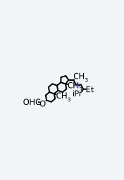 CCC(/C=C/C(C)C1CCC2C3CCC4CC(OC=O)CCC4(C)C3CCC12C)C(C)C